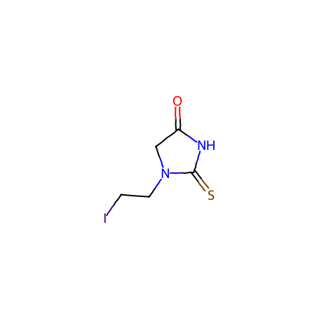 O=C1CN(CCI)C(=S)N1